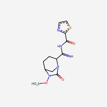 N=C(NC(=O)c1nccs1)C1CCC2CN1C(=O)N2OS(=O)(=O)O